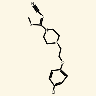 CSC(=NC#N)N1CCN(CCOc2ccc(Cl)cc2)CC1